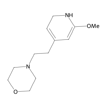 COC1=CC(CCN2CCOCC2)=CCN1